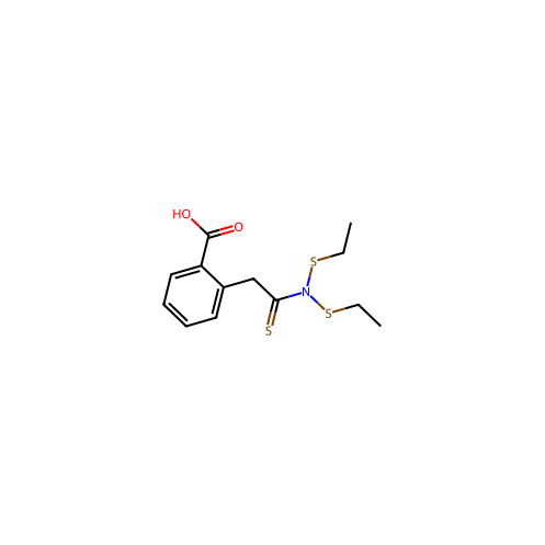 CCSN(SCC)C(=S)Cc1ccccc1C(=O)O